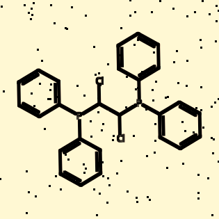 ClC(C(Cl)P(c1ccccc1)c1ccccc1)P(c1ccccc1)c1ccccc1